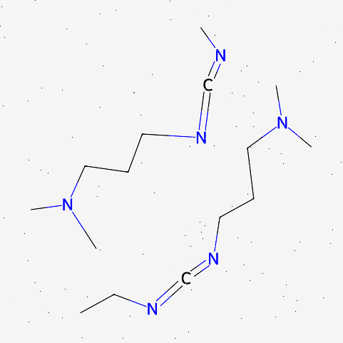 CCN=C=NCCCN(C)C.CN=C=NCCCN(C)C